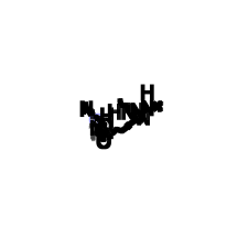 CCCNc1nc(NCC(C)(C)C)ncc1C#CCCCNC(=O)[C@H](C)N(C)C(=O)/C=C/CN(C)C